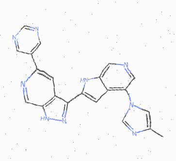 Cc1cn(-c2cncc3[nH]c(-c4n[nH]c5cnc(-c6cncnc6)cc45)cc23)cn1